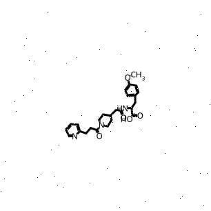 COc1ccc(CC(NC(=O)CC2CCN(C(=O)CCc3ccccn3)CC2)C(=O)O)cc1